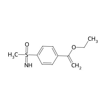 C=C(OCC)c1ccc(S(C)(=N)=O)cc1